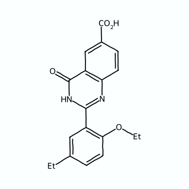 CCOc1ccc(CC)cc1-c1nc2ccc(C(=O)O)cc2c(=O)[nH]1